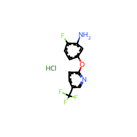 Cl.Nc1cc(Oc2ccc(C(F)(F)F)cn2)ccc1F